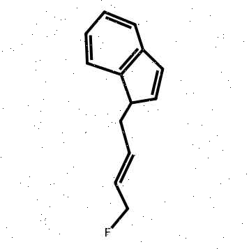 FCC=CCC1C=Cc2[c]cccc21